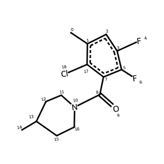 Cc1cc(F)c(F)c(C(=O)N2CCC(C)CC2)c1Cl